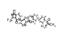 CN(C)C(=O)c1ccc(C2CCN(Cc3cc4c(-n5ccc6[nH]nc(C(F)(F)F)c6c5=O)ccnc4n3C)CC2)cc1